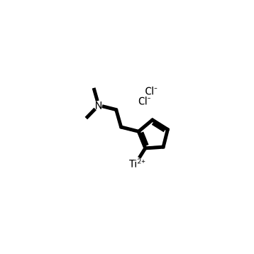 CN(C)CCC1=[C]([Ti+2])CC=C1.[Cl-].[Cl-]